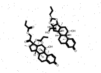 CCC(=O)OCC(=O)[C@@]1(OC(=O)CC)[C@@H](C)C[C@H]2[C@@H]3CCC4=CC(=O)C=C[C@]4(C)[C@@]3(Cl)[C@@H](O)C[C@@]21C.CCC[C@@H]1O[C@@H]2C[C@H]3[C@@H]4CCC5=CC(=O)C=C[C@]5(C)[C@H]4[C@@H](O)C[C@]3(C)[C@]2(C(=O)CO)O1